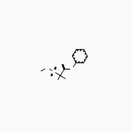 COS(=O)(=O)C(F)(F)C(=O)Oc1ccccc1